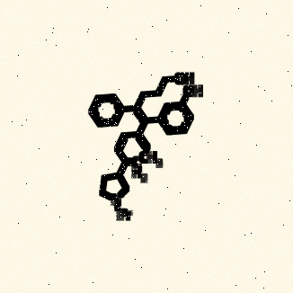 C=C(\C=C/C(=C\C)C(=C(/CCCO)c1ccccc1)/c1cccc(O)c1)C1CCN(C(C)C)C1